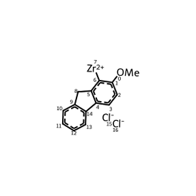 COc1ccc2c([c]1[Zr+2])Cc1ccccc1-2.[Cl-].[Cl-]